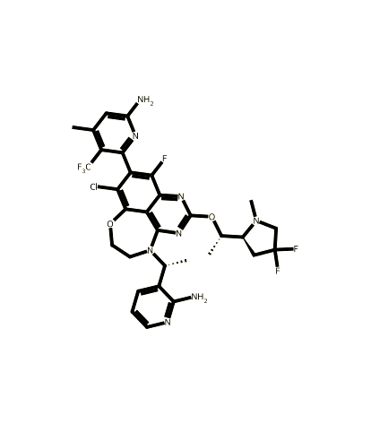 Cc1cc(N)nc(-c2c(Cl)c3c4c(nc(O[C@@H](C)[C@@H]5CC(F)(F)CN5C)nc4c2F)N([C@H](C)c2cccnc2N)CCO3)c1C(F)(F)F